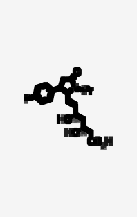 CC(C)N1C(=O)CC(c2ccc(F)cc2)C1C=C[C@@H](O)C[C@@H](O)CC(=O)O